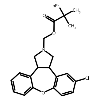 CCCC(C)(C)C(=O)OCN1CC2c3ccccc3Oc3ccc(Cl)cc3C2C1